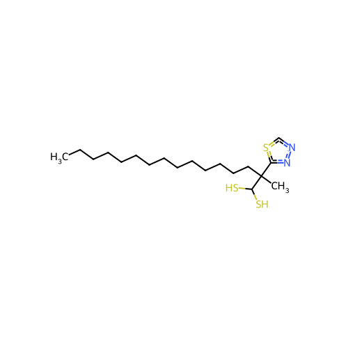 CCCCCCCCCCCCCCC(C)(c1nncs1)C(S)S